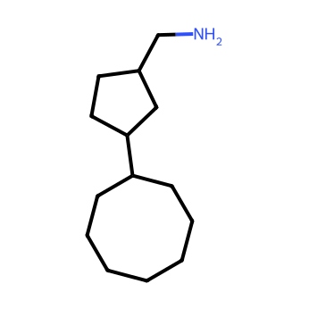 NCC1CCC(C2CCCCCCC2)C1